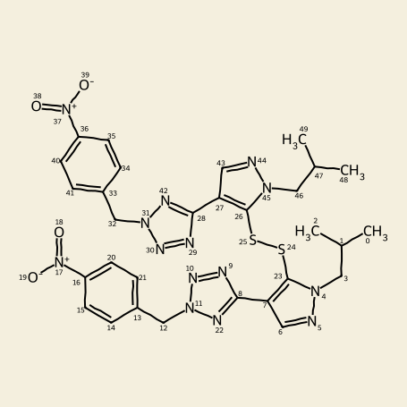 CC(C)Cn1ncc(-c2nnn(Cc3ccc([N+](=O)[O-])cc3)n2)c1SSc1c(-c2nnn(Cc3ccc([N+](=O)[O-])cc3)n2)cnn1CC(C)C